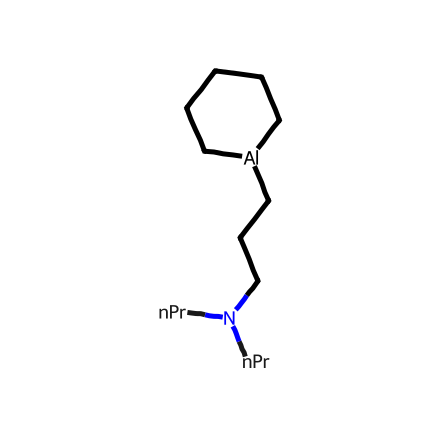 CCCN(CCC)CC[CH2][Al]1[CH2]CCC[CH2]1